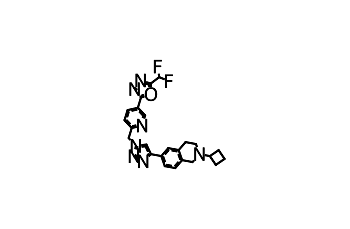 FC(F)c1nnc(-c2ccc(Cn3cc(-c4ccc5c(c4)CCN(C4CCC4)C5)nn3)nc2)o1